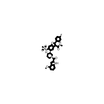 CNC(=O)c1c(-c2ccc(F)cc2)oc2cc(NS(C)(=O)=O)c([C@@H]3CCCN(C(=O)c4cc5c(OC)cccc5[nH]4)C3)cc12